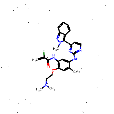 C=C(Cl)C(=O)Nc1cc(Nc2nccc(-c3c4ccccc4nn3C)n2)c(OC)cc1OCCN(C)C